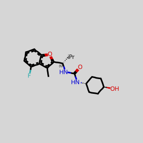 Cc1c([C@@H](NC(=O)N[C@H]2CC[C@H](O)CC2)C(C)C)oc2cccc(F)c12